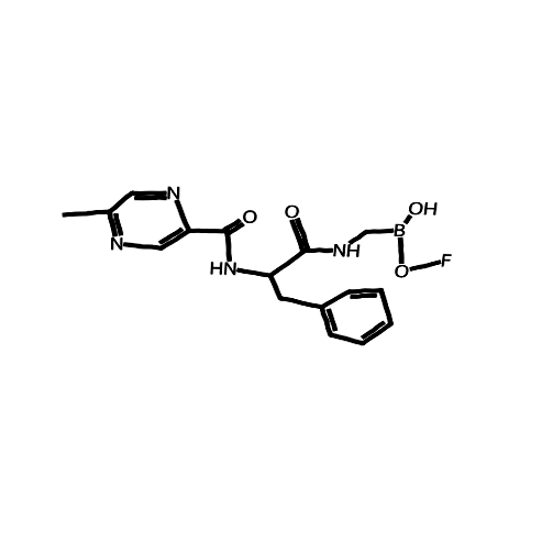 Cc1cnc(C(=O)NC(Cc2ccccc2)C(=O)NCB(O)OF)cn1